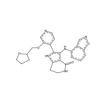 O=C1NCCc2[nH]c(-c3ccncc3OCC3CCCO3)c(Nc3cccc4oncc34)c21